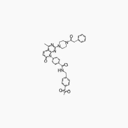 Cc1nc(N2CCN(C(=O)Cc3ccccc3)CC2)nc2c1ccc(=O)n2-c1ccc(C(=O)NCc2ccc(S(C)(=O)=O)cc2)cc1